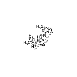 Cc1cc2nncn2c(N2CCC3(CC2)CO[C@@H](C)[C@H]3NC(=O)OC(C)(C)C)n1